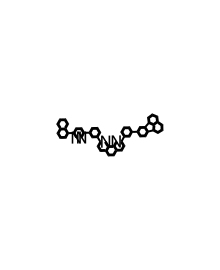 c1cc(-c2ccc3c(c2)-c2cccc4cccc-3c24)cc(-c2ccc3ccc4ccc(-c5cccc(-c6ccc(-c7cccc8ccccc78)nn6)c5)nc4c3n2)c1